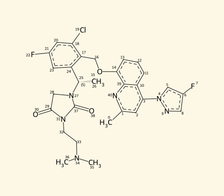 Cc1cc(-n2cc(F)cn2)c2cccc(OCc3c(Cl)cc(F)cc3[C@H](C)N3CC(=O)N(CCN(C)C)C3=O)c2n1